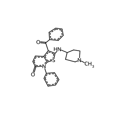 CN1CCC(Nc2sc3c(ccc(=O)n3-c3ccccc3)c2C(=O)c2ccccc2)CC1